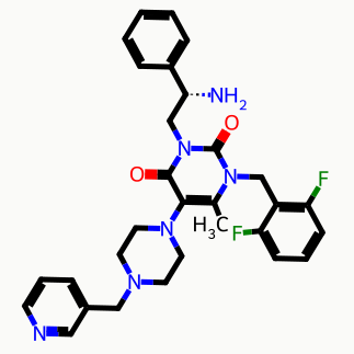 Cc1c(N2CCN(Cc3cccnc3)CC2)c(=O)n(C[C@@H](N)c2ccccc2)c(=O)n1Cc1c(F)cccc1F